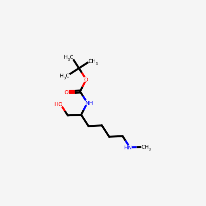 CNCCCCC(CO)NC(=O)OC(C)(C)C